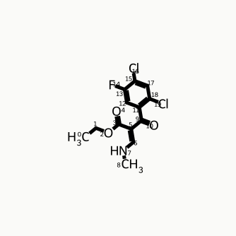 CCOC(=O)C(=CNC)C(=O)c1cc(F)c(Cl)cc1Cl